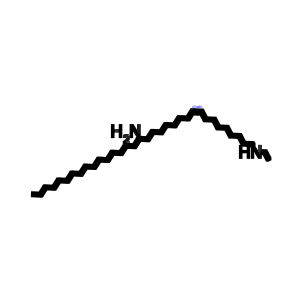 CCCCCCCCCCCCCCCCC(N)CCCCCCC/C=C\CCCCCCCCNCC